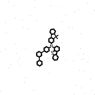 CC1(C)c2ccccc2-c2ccc(N(c3ccc(-c4cccc(-c5ccccc5)c4)cc3)c3cccc4c3sc3ccccc34)cc21